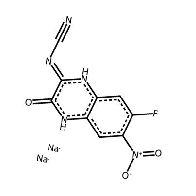 N#CN=c1[nH]c2cc(F)c([N+](=O)[O-])cc2[nH]c1=O.[Na].[Na]